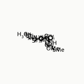 COC(=O)[C@H](CCSC)NC(=O)C1(NC(=O)c2ccc(-c3csc(N4CCN(C)CC4)n3)cc2)CCCCC1